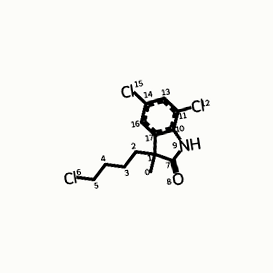 CC1(CCCCCl)C(=O)Nc2c(Cl)cc(Cl)cc21